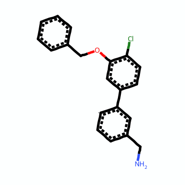 NCc1cc[c]c(-c2ccc(Cl)c(OCc3ccccc3)c2)c1